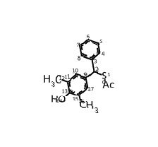 CC(=O)SC(c1ccccc1)c1cc(C)c(O)c(C)c1